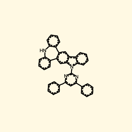 c1ccc(-c2cc(-c3ccccc3)nc(-n3c4ccccc4c4cc5c(cc43)-c3ccccc3Nc3ccccc3-5)n2)cc1